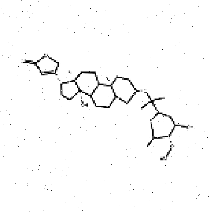 CCC(C)O[C@@H]1C(C)O[C@@H](C(C)(C)O[C@H]2CC[C@@]3(C)C(CCC4C3CC[C@]3(C)[C@@H](C5=CC(=O)OC5)CC[C@]43O)C2)C[C@H]1O